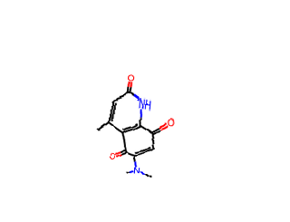 Cc1cc(=O)[nH]c2c1C(=O)C(N(C)C)=CC2=O